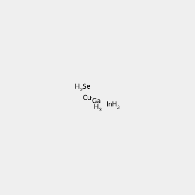 [Cu].[GaH3].[InH3].[SeH2]